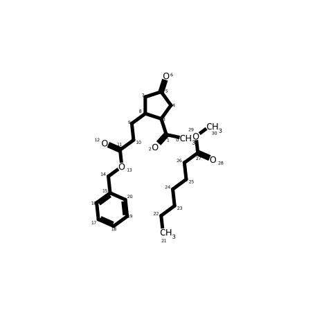 CC(=O)C1CC(=O)CC1CCC(=O)OCc1ccccc1.CCCCCCC(=O)OC